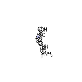 CN1/C(=N\N(C=O)C(CO)CCl)C(C)(C)Oc2ccc(Nc3ncc(F)c(N)n3)cc21